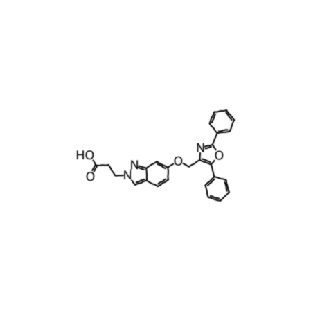 O=C(O)CCn1cc2ccc(OCc3nc(-c4ccccc4)oc3-c3ccccc3)cc2n1